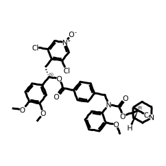 COc1ccc([C@H](Cc2c(Cl)c[n+]([O-])cc2Cl)OC(=O)c2ccc(CN(C(=O)O[C@H]3CN4CCC3CC4)c3ccccc3OC)cc2)cc1OC